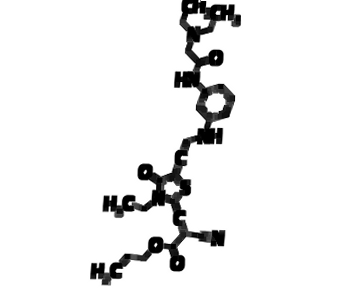 C=CCOC(=O)C(=C=c1sc(=C=CNc2cccc(NC(=O)CN(CC)CC)c2)c(=O)n1CC)C#N